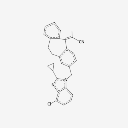 C/C(C#N)=C1\c2ccccc2CCc2cc(Cn3c(C4CC4)nc4c(Cl)cccc43)ccc21